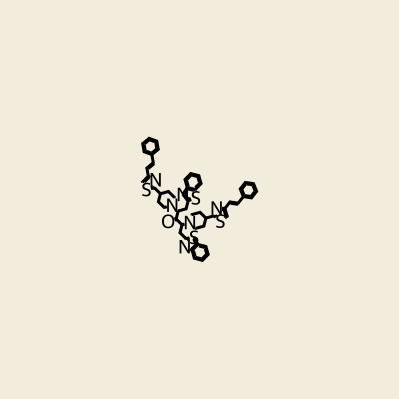 O=C(C(Cc1nc2ccccc2s1)N1CCC(c2nc(C=Cc3ccccc3)cs2)CC1)C(Cc1nc2ccccc2s1)N1CCC(c2nc(C=Cc3ccccc3)cs2)CC1